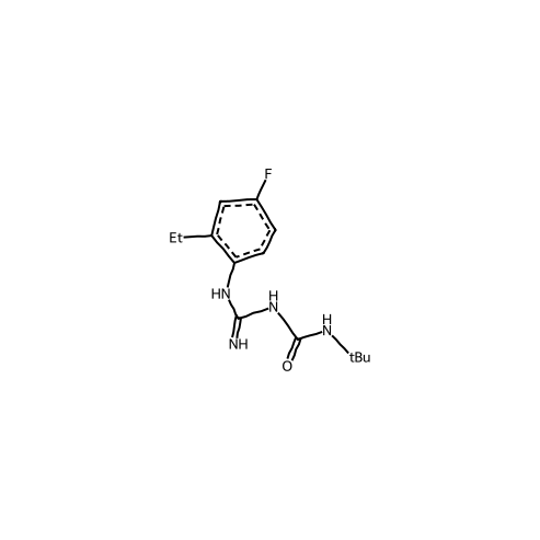 CCc1cc(F)ccc1NC(=N)NC(=O)NC(C)(C)C